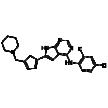 Fc1cc(Cl)ccc1Nc1ncnc2[nH]c(C3=CC=C(CN4CCCCC4)C3)cc12